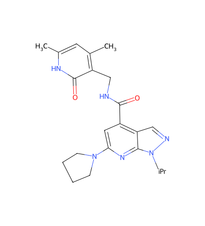 Cc1cc(C)c(CNC(=O)c2cc(N3CCCC3)nc3c2cnn3C(C)C)c(=O)[nH]1